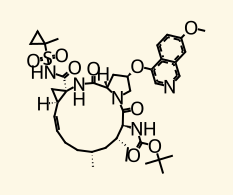 CC[C@@H]1C[C@H](C)CC/C=C\[C@H]2C[C@@]2(C(=O)NS(=O)(=O)C2(C)CC2)NC(=O)[C@@H]2C[C@@H](Oc3cncc4cc(OC)ccc34)CN2C(=O)[C@H]1NC(=O)OC(C)(C)C